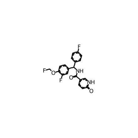 O=C(NC(c1ccc(F)cc1)c1ccc(OCF)c(F)c1)c1ccc(=O)[nH]c1